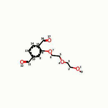 COCCOCCOc1cc(C=O)ccc1C=O